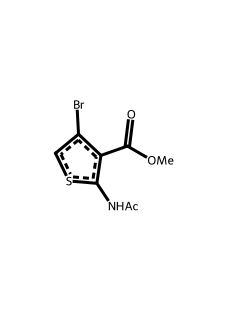 COC(=O)c1c(Br)csc1NC(C)=O